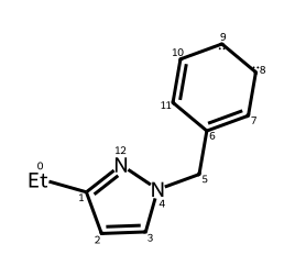 CCc1ccn(CC2=C[C][C]C=C2)n1